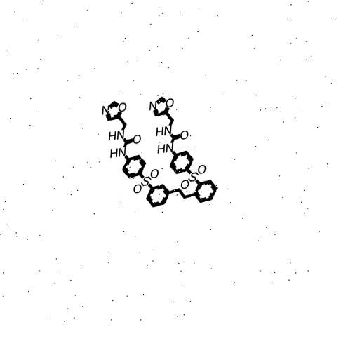 O=C(NCc1cnco1)Nc1ccc(S(=O)(=O)c2cccc(CCc3ccccc3S(=O)(=O)c3ccc(NC(=O)NCc4cnco4)cc3)c2)cc1